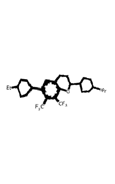 CCCC1CCC(C2CCc3cc(C4CCC(CC)CC4)c(C(F)(F)F)c(C(F)(F)F)c3O2)CC1